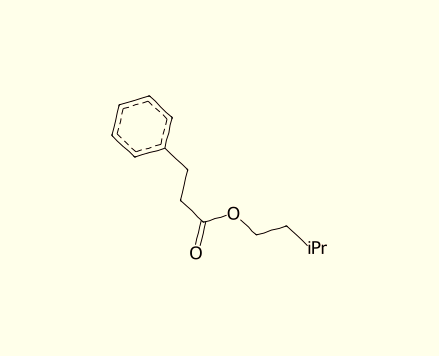 CC(C)CCOC(=O)CCc1ccccc1